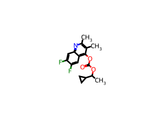 Cc1nc2cc(F)c(F)cc2c(OC(=O)OC(C)C2CC2)c1C